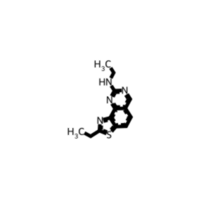 CCNc1ncc2ccc3sc(CC)nc3c2n1